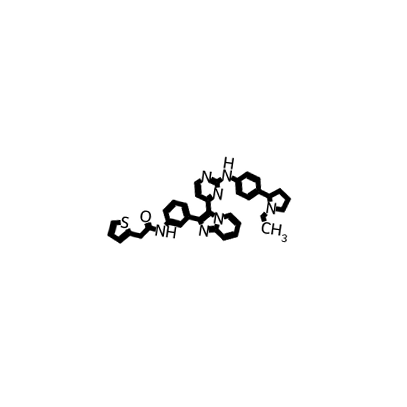 CCN1CCCC1c1ccc(Nc2nccc(-c3c(-c4cccc(NC(=O)Cc5cccs5)c4)nc4ccccn34)n2)cc1